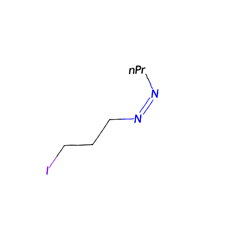 CCC/N=N\CCCI